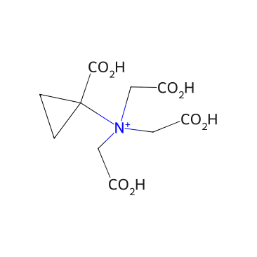 O=C(O)C[N+](CC(=O)O)(CC(=O)O)C1(C(=O)O)CC1